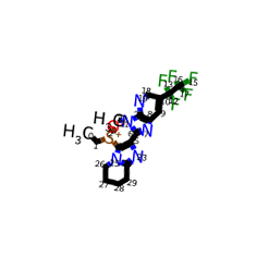 CC[S+]([O-])c1c(-c2nc3cc(C(F)(F)C(F)(F)F)cnc3n2C)nc2n1CCCC2